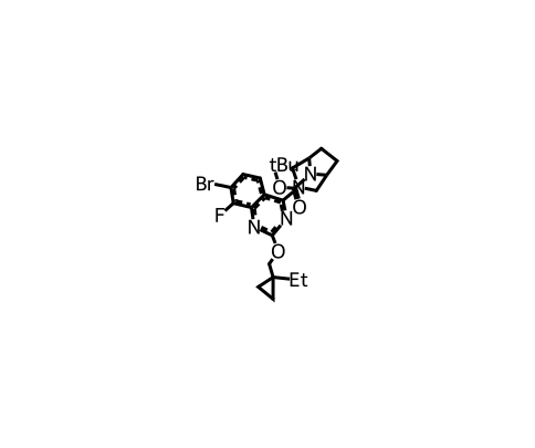 CCC1(COc2nc(N3CC4CCC(C3)N4C(=O)OC(C)(C)C)c3ccc(Br)c(F)c3n2)CC1